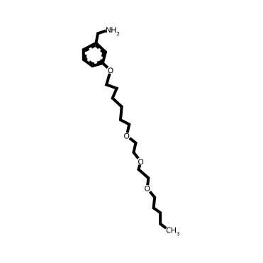 CCCCCOCCOCCOCCCCCCOc1cccc(CN)c1